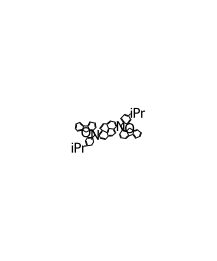 CC(C)C1=CC=C(N(c2ccc3ccc4c(N(c5ccc(C(C)C)cc5)c5cccc6c5oc5ccccc56)ccc5ccc2c3c54)c2cccc3c2oc2ccccc23)CC1